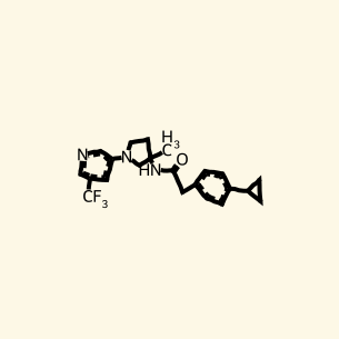 CC1(NC(=O)Cc2ccc(C3CC3)cc2)CCN(c2cncc(C(F)(F)F)c2)C1